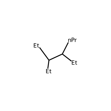 [CH2]CC(CC)C(CC)CCC